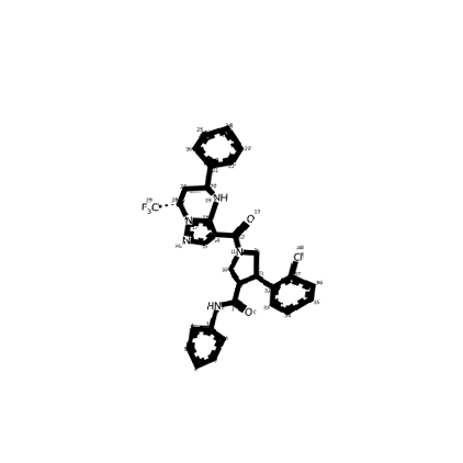 O=C(Nc1ccccc1)C1CN(C(=O)c2cnn3c2NC(c2ccccc2)C[C@H]3C(F)(F)F)CC1c1ccccc1Cl